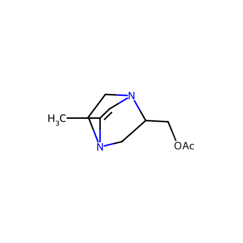 CC(=O)OCC1CN2CCN1C=C2C